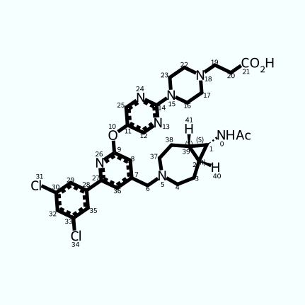 CC(=O)N[C@@H]1[C@@H]2CCN(Cc3cc(Oc4cnc(N5CCN(CCC(=O)O)CC5)nc4)nc(-c4cc(Cl)cc(Cl)c4)c3)CC[C@@H]21